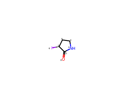 O=C1NCC[C@@H]1I